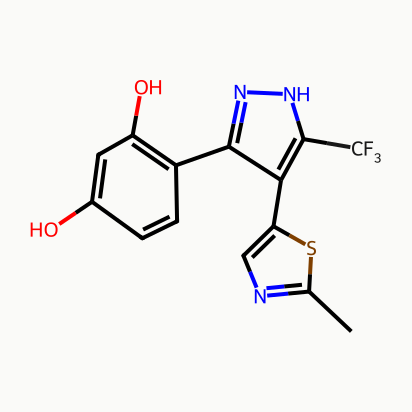 Cc1ncc(-c2c(-c3ccc(O)cc3O)n[nH]c2C(F)(F)F)s1